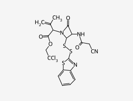 C=C(C)C(C(=O)OCC(Cl)(Cl)Cl)N1C(=O)C(NC(=O)CC#N)C1SSc1nc2ccccc2s1